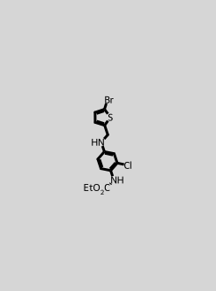 CCOC(=O)Nc1ccc(NCc2ccc(Br)s2)cc1Cl